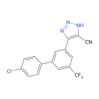 N#Cc1[nH]nnc1-c1cc(-c2ccc(Cl)cc2)cc(C(F)(F)F)c1